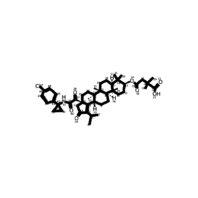 CC(C)C1=C2[C@H]3CC[C@@H]4[C@@]5(C)CC[C@H](OC(=O)CC(C)(C)C(=O)O)C(C)(C)[C@@H]5CC[C@@]4(C)[C@]3(C)CC[C@@]2(C(=O)C(=O)NC2(c3ccc(Cl)cc3)CC2)CC1=O